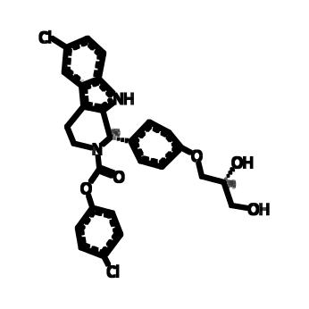 O=C(Oc1ccc(Cl)cc1)N1CCc2c([nH]c3ccc(Cl)cc23)[C@@H]1c1ccc(OC[C@H](O)CO)cc1